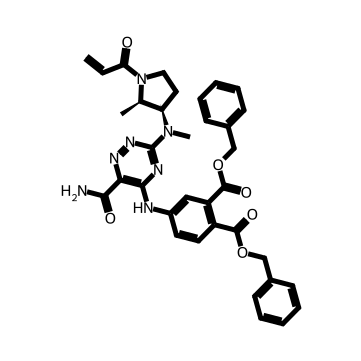 C=CC(=O)N1CC[C@@H](N(C)c2nnc(C(N)=O)c(Nc3ccc(C(=O)OCc4ccccc4)c(C(=O)OCc4ccccc4)c3)n2)[C@H]1C